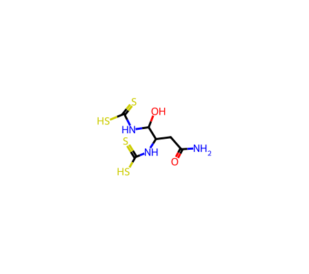 NC(=O)CC(NC(=S)S)C(O)NC(=S)S